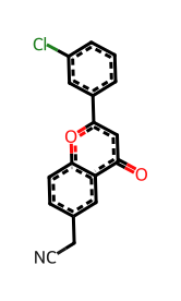 N#CCc1ccc2oc(-c3cccc(Cl)c3)cc(=O)c2c1